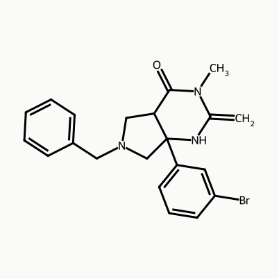 C=C1NC2(c3cccc(Br)c3)CN(Cc3ccccc3)CC2C(=O)N1C